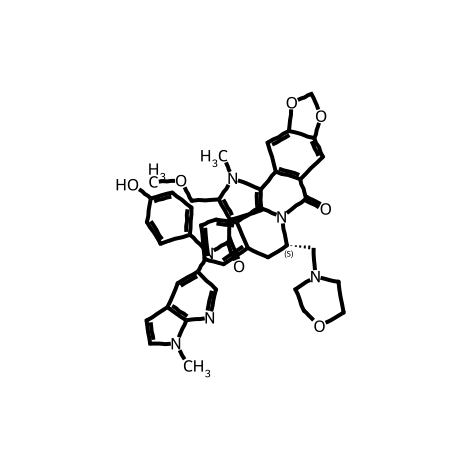 COCc1c(C(=O)N(c2ccc(O)cc2)c2cnc3c(ccn3C)c2)cc(-c2cc3c(cc2C(=O)N2Cc4ccccc4C[C@H]2CN2CCOCC2)OCO3)n1C